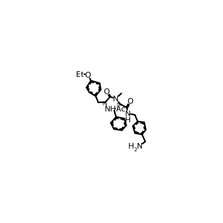 CCOc1ccc(C[C@@H](NC(C)=O)C(=O)N(C)[C@@H](Cc2ccccc2)C(=O)NCc2ccc(CN)cc2)cc1